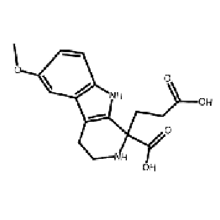 COc1ccc2[nH]c3c(c2c1)CCNC3(CCC(=O)O)C(=O)O